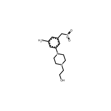 Nc1cc(C[SH](=O)=O)cc(N2CCN(CCO)CC2)c1